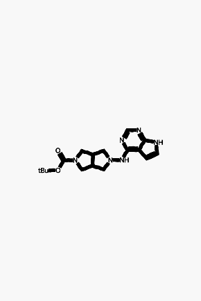 CC(C)(C)OC(=O)N1CC2CN(Nc3ncnc4[nH]ccc34)CC2C1